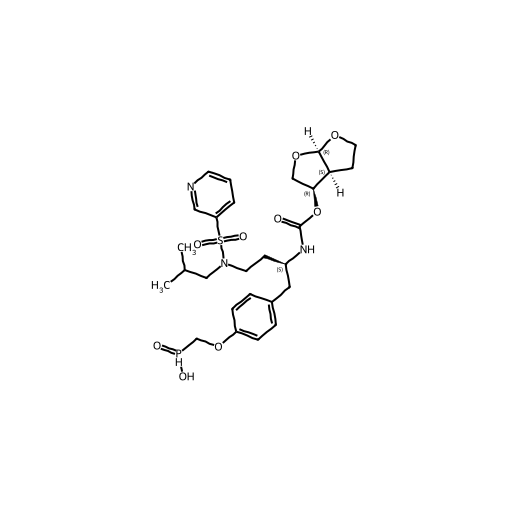 CC(C)CN(CC[C@H](Cc1ccc(OC[PH](=O)O)cc1)NC(=O)O[C@H]1CO[C@H]2OCC[C@H]21)S(=O)(=O)c1cccnc1